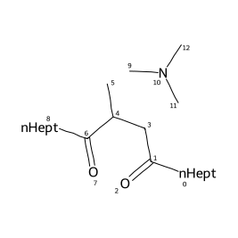 CCCCCCCC(=O)CC(C)C(=O)CCCCCCC.CN(C)C